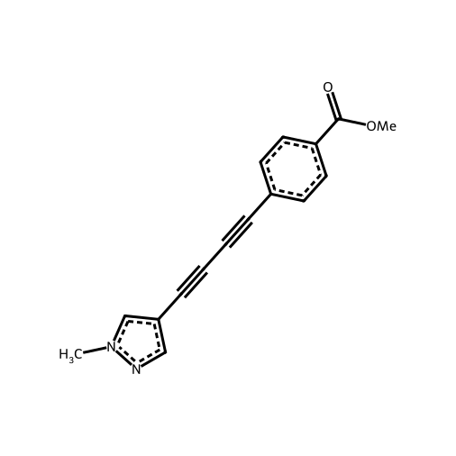 COC(=O)c1ccc(C#CC#Cc2cnn(C)c2)cc1